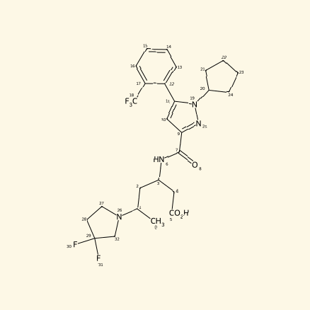 CC(CC(CC(=O)O)NC(=O)c1cc(-c2ccccc2C(F)(F)F)n(C2CCCC2)n1)N1CCC(F)(F)C1